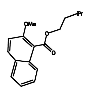 COc1ccc2ccccc2c1C(=O)OCCC(C)C